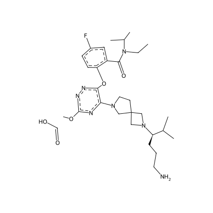 CCN(C(=O)c1cc(F)ccc1Oc1nnc(OC)nc1N1CCC2(C1)CN([C@H](CCCN)C(C)C)C2)C(C)C.O=CO